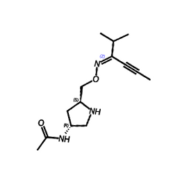 CC#C/C(=N\OC[C@@H]1C[C@@H](NC(C)=O)CN1)C(C)C